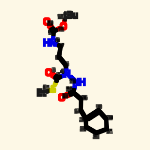 CCSC(=O)N(CCCNC(=O)OC(C)(C)C)NC(=O)CCC1=CCCCC1